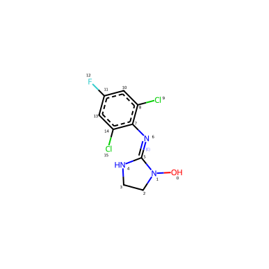 ON1CCN/C1=N\c1c(Cl)cc(F)cc1Cl